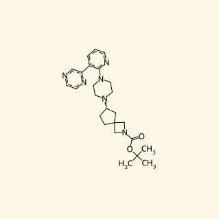 CC(C)(C)OC(=O)N1CC2(CC[C@@H](N3CCN(c4ncccc4-c4cnccn4)CC3)C2)C1